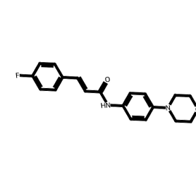 O=C(C=Cc1ccc(F)cc1)Nc1ccc(N2CCOCC2)cc1